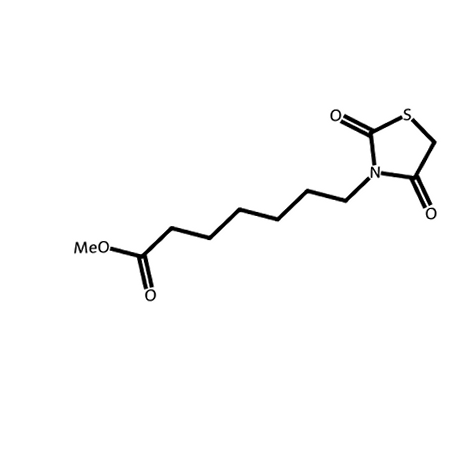 COC(=O)CCCCCCN1C(=O)CSC1=O